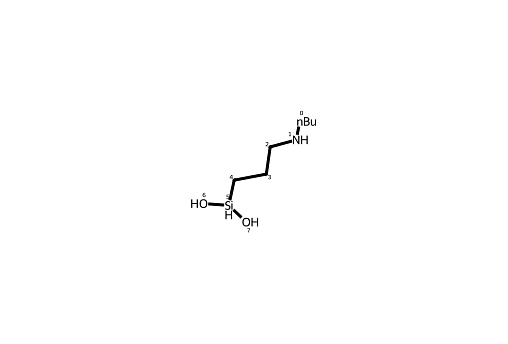 CCCCNCCC[SiH](O)O